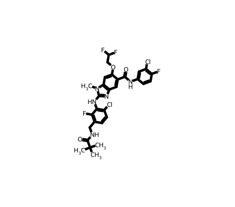 Cn1c(Nc2c(Cl)ccc(CNC(=O)C(C)(C)C)c2F)nc2cc(C(=O)Nc3ccc(F)c(Cl)c3)c(OCC(F)F)cc21